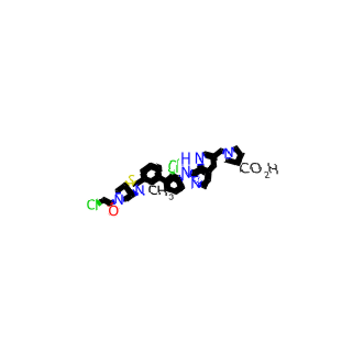 Cc1c(-c2nc3c(s2)CN(C(=O)CCl)C3)cccc1-c1cccc(Nc2nccc3cc(CN4CC[C@@H](C(=O)O)C4)cnc23)c1Cl